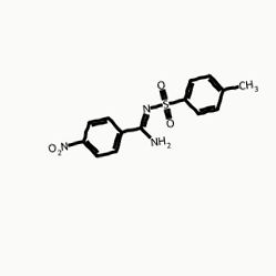 Cc1ccc(S(=O)(=O)N=C(N)c2ccc([N+](=O)[O-])cc2)cc1